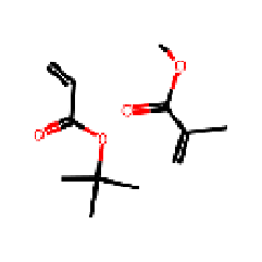 C=C(C)C(=O)OC.C=CC(=O)OC(C)(C)C